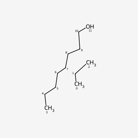 CCC.CCCCCCCCO